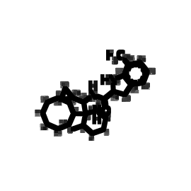 CC1CCCNC1(C1CCCCCCC1)C(NC(=O)C1Cc2cccc(C(F)(F)F)c2N1)C1CC1